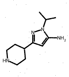 CC(C)n1nc(C2CCNCC2)cc1N